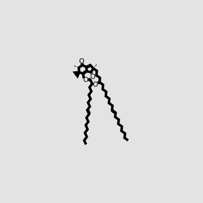 CCCCCCCC/C=C/CCCCCCCC(=O)CCC[C@]1(C)C=C2C(=O)[C@@H](C)C3(CC3)C(C)=C2C1OC(=O)CCCCCCC/C=C/CCCCCCCC